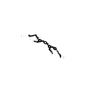 C=CC(=O)OCCCCOc1ccc(C(=O)Oc2ccc(OC(=O)C3CCC(C(=O)Oc4ccc(OC(=O)CCC(=O)OCCOC(=O)C=C)c(C(=O)OCCOCC)c4)CC3)cc2C(=O)OCCOCC)cc1